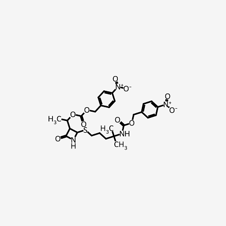 CC(OC(=O)OCc1ccc([N+](=O)[O-])cc1)C1C(=O)NC1SCCCC(C)(C)NC(=O)OCc1ccc([N+](=O)[O-])cc1